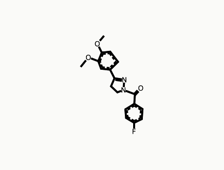 COc1ccc(C2=NN(C(=O)c3ccc(F)cc3)CC2)cc1OC